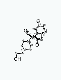 O=C=C(N1CCN(CCO)CC1)n1c(=O)sc2ncc(Cl)cc21